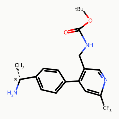 C[C@@H](N)c1ccc(-c2cc(C(F)(F)F)ncc2CNC(=O)OC(C)(C)C)cc1